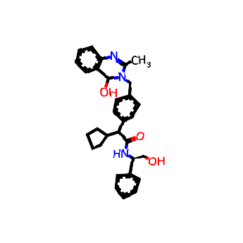 CC1=Nc2ccccc2C(O)N1Cc1ccc(C(C(=O)N[C@@H](CO)c2ccccc2)C2CCCC2)cc1